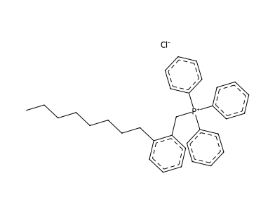 CCCCCCCCc1ccccc1C[P+](c1ccccc1)(c1ccccc1)c1ccccc1.[Cl-]